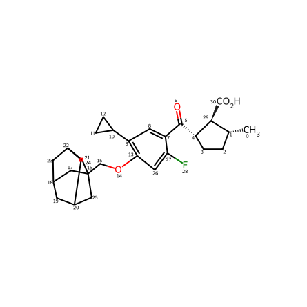 C[C@@H]1CC[C@H](C(=O)c2cc(C3CC3)c(OCC34CC5CC(CC(C5)C3)C4)cc2F)[C@H]1C(=O)O